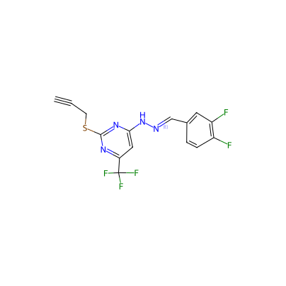 C#CCSc1nc(N/N=C/c2ccc(F)c(F)c2)cc(C(F)(F)F)n1